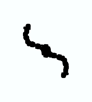 CCC1(COCOc2ccc(OCOc3ccc(-c4ccc(OCOc5ccc6ccccc6c5-c5c(OCOc6ccc(-c7ccc(OCOc8ccc(OCOCC9(CC)COC9)cc8)cc7)cc6)ccc6ccccc56)cc4)cc3)cc2)COC1